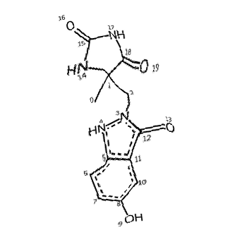 CC1(Cn2[nH]c3ccc(O)cc3c2=O)NC(=O)NC1=O